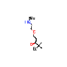 CCC(C)(C)C(=O)CCOCCNC(C)(C)C